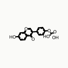 O=c1c(-c2ccc(OP(=O)(O)O)cc2)coc2cc(O)ccc12